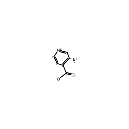 O=C([O-])c1ccncc1.[K+]